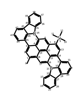 Cc1cc2c3c(cc4c([Si](C)(C)C)cc5c6c(cc1c3c46)B1c3ccccc3-c3cccc-5c31)B1c3ccccc3-c3cccc-2c31